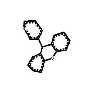 [c]1ncccc1C1c2ccccc2Oc2ccccc21